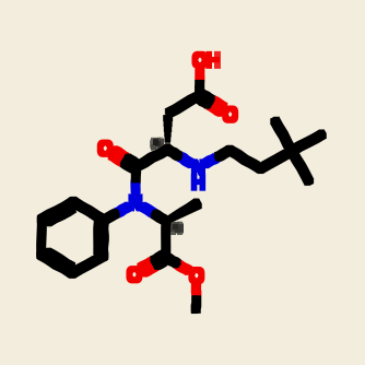 COC(=O)[C@H](C)N(C(=O)[C@H](CC(=O)O)NCCC(C)(C)C)c1ccccc1